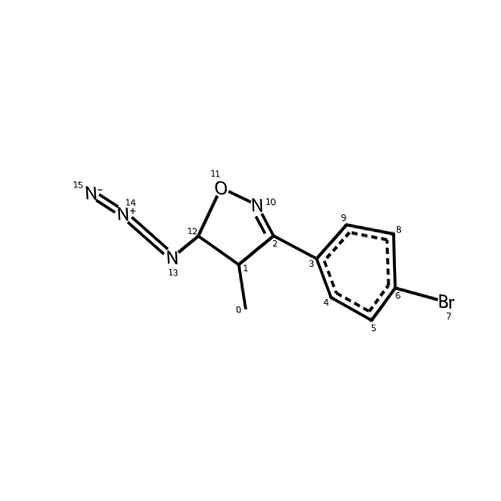 CC1C(c2ccc(Br)cc2)=NOC1N=[N+]=[N-]